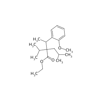 CCOC(=O)C(CC(C)C)(C(C)C)C(C)c1ccccc1OC